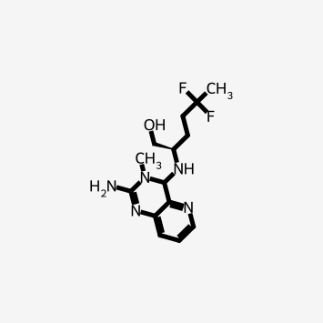 CN1C(N)=Nc2cccnc2C1N[C@@H](CO)CCC(C)(F)F